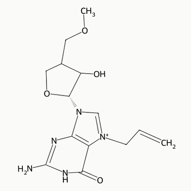 C=CC[n+]1cn([C@@H]2OCC(COC)C2O)c2nc(N)[nH]c(=O)c21